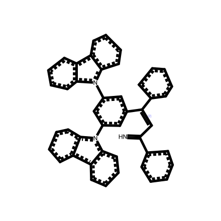 N=C(/C=C(/c1ccccc1)c1cc(-n2c3ccccc3c3ccccc32)cc(-n2c3ccccc3c3ccccc32)c1)c1ccccc1